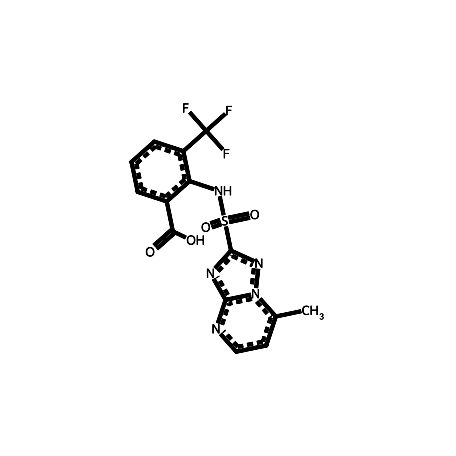 Cc1ccnc2nc(S(=O)(=O)Nc3c(C(=O)O)cccc3C(F)(F)F)nn12